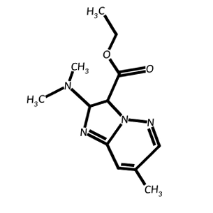 CCOC(=O)C1C(N(C)C)N=C2C=C(C)C=NN21